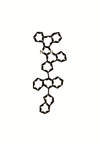 c1ccc2cc(-c3c4ccccc4c(-c4ccc5c(c4)c4ccccc4n4c5nc5c6ccccc6c6ccccc6c54)c4ccccc34)ccc2c1